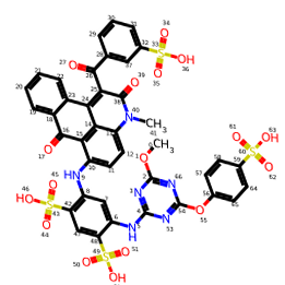 COc1nc(Nc2cc(Nc3ccc4c5c3C(=O)c3ccccc3-c5c(C(=O)c3cccc(S(=O)(=O)O)c3)c(=O)n4C)c(S(=O)(=O)O)cc2S(=O)(=O)O)nc(Oc2ccc(S(=O)(=O)O)cc2)n1